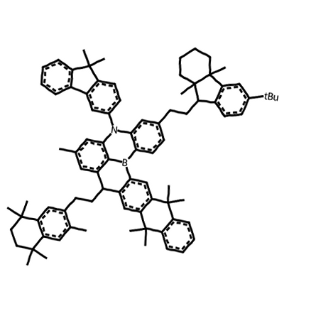 Cc1cc2c3c(c1)N(c1ccc4c(c1)-c1ccccc1C4(C)C)c1cc(CCC4c5ccc(C(C)(C)C)cc5C5(C)CCCCC45C)ccc1B3c1cc3c(cc1C2CCc1cc2c(cc1C)C(C)(C)CCC2(C)C)C(C)(C)c1ccccc1C3(C)C